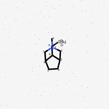 CN1CC2CCC(C1)C2CC(C)(C)C